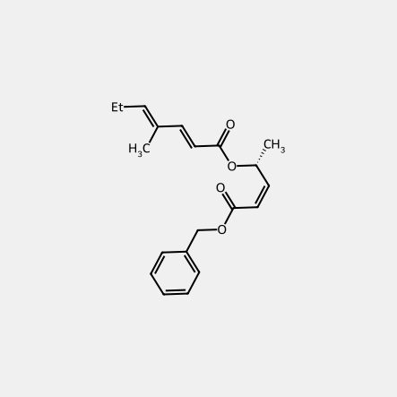 CC/C=C(C)/C=C/C(=O)O[C@H](C)/C=C\C(=O)OCc1ccccc1